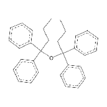 CCCC(OC(CCC)(c1ccccc1)c1ccccc1)(c1ccccc1)c1ccccc1